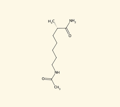 CC(=O)NCCCCC[C@H](C)C(N)=O